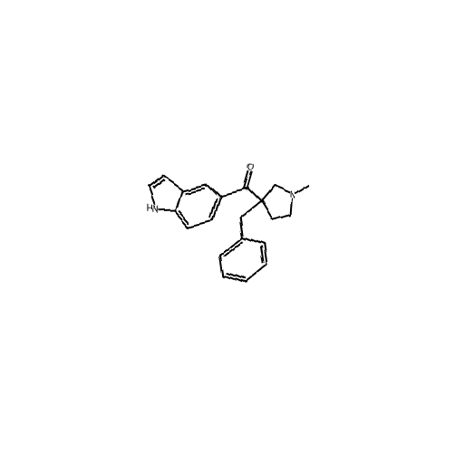 CN1CCC(Cc2ccccc2)(C(=O)c2ccc3[nH]ccc3c2)C1